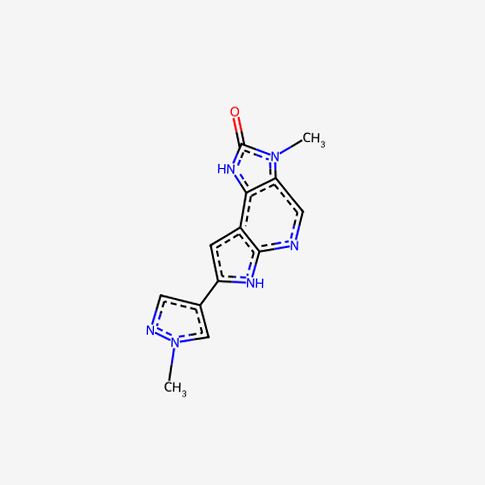 Cn1cc(-c2cc3c(ncc4c3[nH]c(=O)n4C)[nH]2)cn1